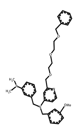 COc1cccc(CN(Cc2cccc(N(C)C)c2)c2ccnc(COCCOCCOCc3ccccc3)c2)c1